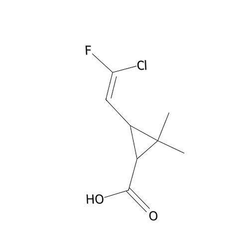 CC1(C)C(/C=C(/F)Cl)C1C(=O)O